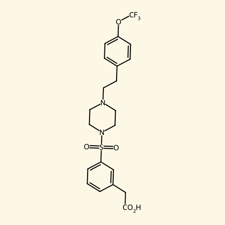 O=C(O)Cc1cccc(S(=O)(=O)N2CCN(CCc3ccc(OC(F)(F)F)cc3)CC2)c1